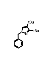 CC(C)(C)c1cn(Cc2ccccc2)nc1C(C)(C)C